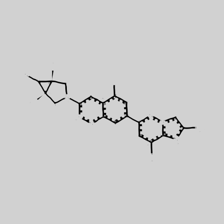 Cc1cn2nc(-c3cc(F)c4cc(N5C[C@@H]6C(N)[C@@H]6C5)nnc4c3)cc(C)c2n1